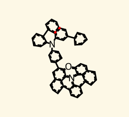 c1ccc(-c2cccc(N(c3ccc(-c4cc5cccc6c7cccc8c9cccc%10ccc%11oc4c(c56)n(c87)c%11c%109)cc3)c3ccccc3-c3ccccc3)c2)cc1